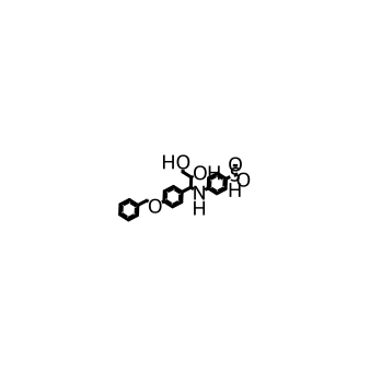 O=[SH](=O)c1ccc(NC(c2ccc(OCc3ccccc3)cc2)[C@H](O)CO)cc1